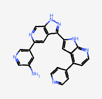 Nc1cncc(-c2cc3c(-c4cc5c(-c6ccncc6)ccnc5[nH]4)n[nH]c3cn2)c1